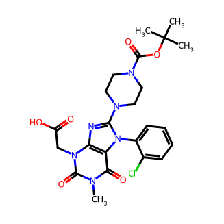 Cn1c(=O)c2c(nc(N3CCN(C(=O)OC(C)(C)C)CC3)n2-c2ccccc2Cl)n(CC(=O)O)c1=O